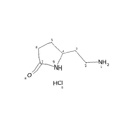 Cl.NCCC1CCC(=O)N1